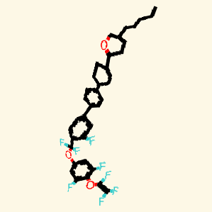 CCCCCC1CCC(C2CCC(c3ccc(-c4ccc(C(F)(F)Oc5cc(F)c(OC(F)=C(F)F)c(F)c5)c(F)c4)cc3)CC2)OC1